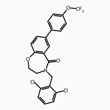 O=C1c2cc(-c3ccc(OC(F)(F)F)cc3)ccc2OCCN1Cc1c(Cl)cccc1Cl